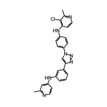 Cc1cc(Nc2cccc(-c3cn(-c4ccc(Nc5ccnc(C)c5Cl)cc4)nn3)c2)ccn1